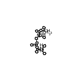 CC1(C)c2ccccc2-c2cc3c4ccccc4n(C4N=C(c5cccc(-c6ccc7c8cc9c(cc8n(-c8ccccc8)c7c6)c6ccccc6n9C6N=C(c7ccccc7)C=C(c7ccccc7)N6)c5)C=C(c5ccccc5)N4)c3cc21